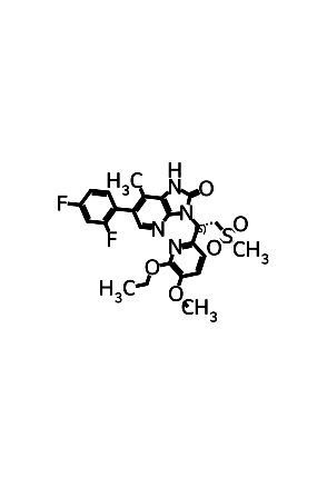 CCOc1nc([C@@H](CS(C)(=O)=O)n2c(=O)[nH]c3c(C)c(-c4ccc(F)cc4F)cnc32)ccc1OC